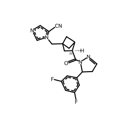 N#Cc1cncn1CC12CC(C1)[C@@H](C(=O)N1N=CCC1c1cc(F)cc(F)c1)C2